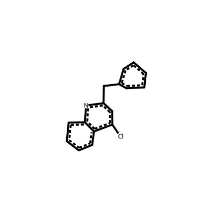 Clc1cc(Cc2ccccc2)nc2ccccc12